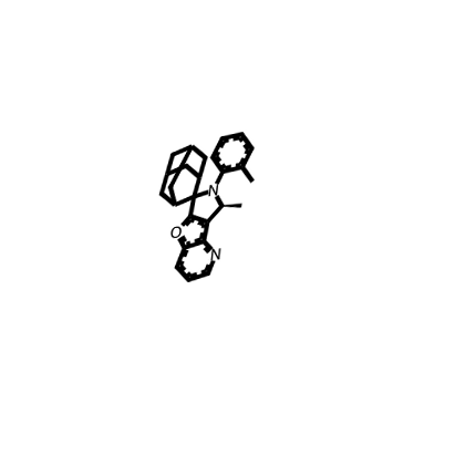 Cc1ccccc1N1[C@@H](C)c2c(oc3cccnc23)C12C1CC3CC(C1)CC2C3